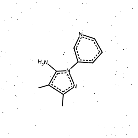 Cc1nn(-c2cccnc2)c(N)c1C